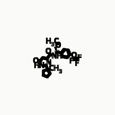 COC[C@@H](NC(=O)c1cc(=O)[nH]c(C2(C)CCCC2)n1)c1ccc(OC(F)(F)F)cc1